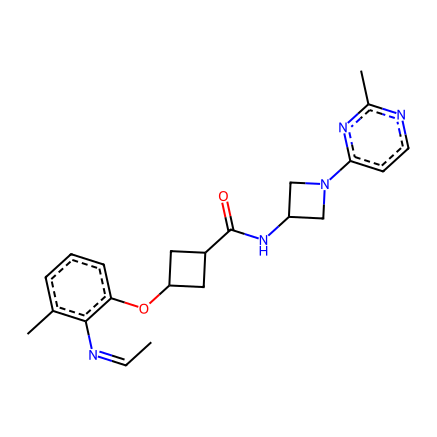 C/C=N\c1c(C)cccc1OC1CC(C(=O)NC2CN(c3ccnc(C)n3)C2)C1